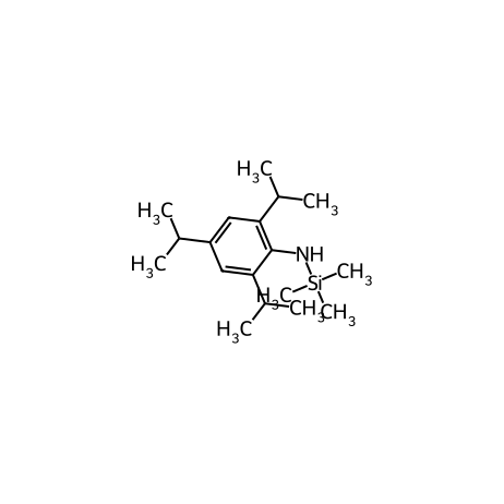 CC(C)c1cc(C(C)C)c(N[Si](C)(C)C)c(C(C)C)c1